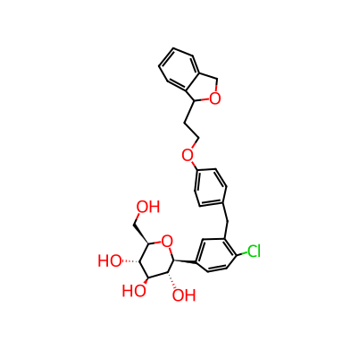 OC[C@H]1O[C@@H](c2ccc(Cl)c(Cc3ccc(OCCC4OCc5ccccc54)cc3)c2)[C@H](O)[C@@H](O)[C@@H]1O